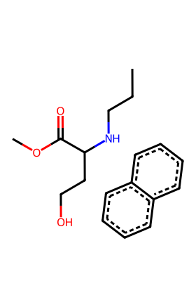 CCCNC(CCO)C(=O)OC.c1ccc2ccccc2c1